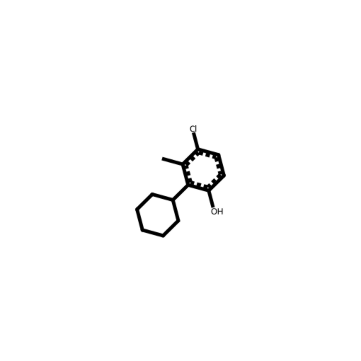 Cc1c(Cl)ccc(O)c1C1CCCCC1